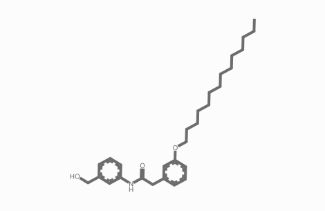 CCCCCCCCCCCCCCOc1cccc(CC(=O)Nc2cccc(CO)c2)c1